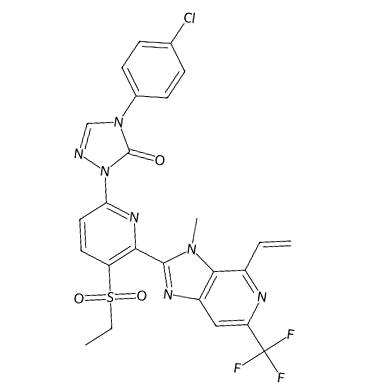 C=Cc1nc(C(F)(F)F)cc2nc(-c3nc(-n4ncn(-c5ccc(Cl)cc5)c4=O)ccc3S(=O)(=O)CC)n(C)c12